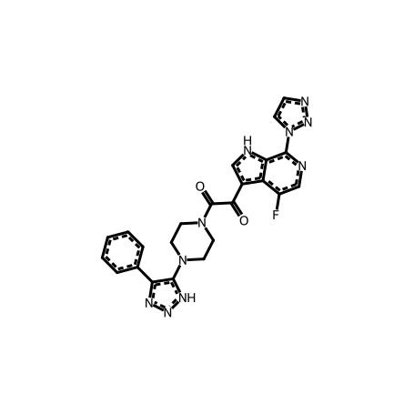 O=C(C(=O)N1CCN(c2[nH]nnc2-c2ccccc2)CC1)c1c[nH]c2c(-n3ccnn3)ncc(F)c12